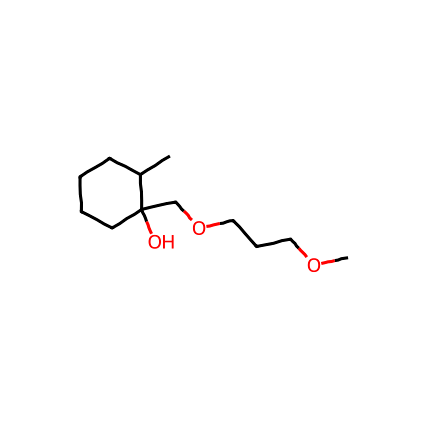 COCCCOCC1(O)CCCCC1C